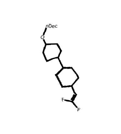 CCCCCCCCCCOC1CCC(C2CCC(C=C(F)F)CC2)CC1